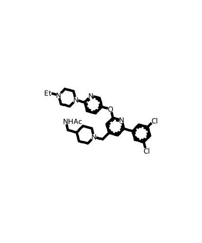 [CH2]CN1CCN(c2ccc(Oc3cc(CN4CCC(CNC(C)=O)CC4)cc(-c4cc(Cl)cc(Cl)c4)n3)cn2)CC1